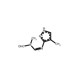 Cc1c[nH]nc1/N=C\N(C)C=O